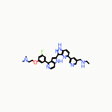 CCNCc1cncc(-c2ccc3[nH]nc(-c4cc5c(-c6cc(F)cc(OCCN(C)C)c6)nccc5[nH]4)c3n2)c1